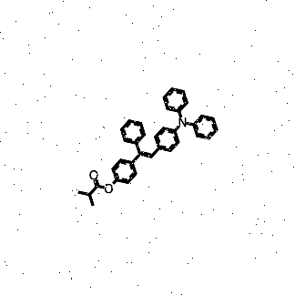 CC(C)C(=O)Oc1ccc(C(=Cc2ccc(N(c3ccccc3)c3ccccc3)cc2)c2ccccc2)cc1